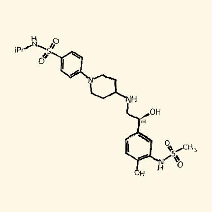 CC(C)NS(=O)(=O)c1ccc(N2CCC(NC[C@@H](O)c3ccc(O)c(NS(C)(=O)=O)c3)CC2)cc1